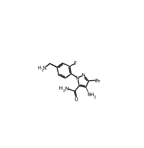 CC(C)c1nn(-c2ccc(CN)cc2F)c(C(N)=O)c1N